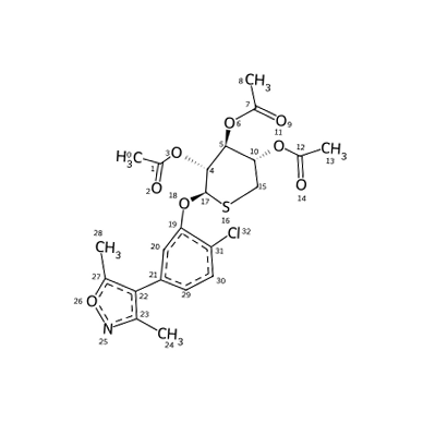 CC(=O)O[C@@H]1[C@@H](OC(C)=O)[C@H](OC(C)=O)CS[C@H]1Oc1cc(-c2c(C)noc2C)ccc1Cl